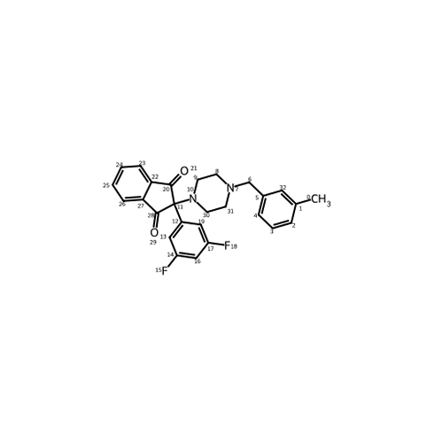 Cc1cccc(CN2CCN(C3(c4cc(F)cc(F)c4)C(=O)c4ccccc4C3=O)CC2)c1